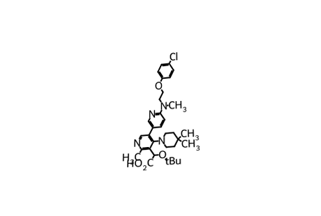 Cc1ncc(-c2ccc(N(C)CCOc3ccc(Cl)cc3)nc2)c(N2CCC(C)(C)CC2)c1C(OC(C)(C)C)C(=O)O